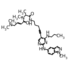 CCCNc1nc(Nc2ccc3c(cnn3C)c2)ncc1C#CCCCNC(=O)[C@H](C)N(C)C(=O)/C=C/CN(C)C